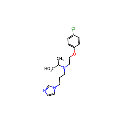 CC(C(=O)O)N(CCCn1ccnc1)CCOc1ccc(Cl)cc1